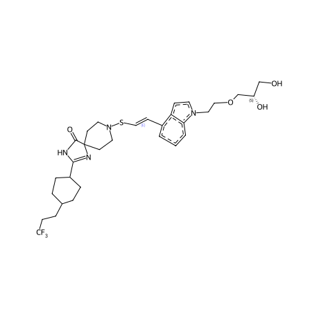 O=C1NC(C2CCC(CCC(F)(F)F)CC2)=NC12CCN(S/C=C/c1cccc3c1ccn3CCOC[C@@H](O)CO)CC2